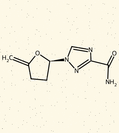 C=C1CC[C@H](n2cnc(C(N)=O)n2)O1